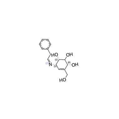 OCC1=C[C@H](/N=C\Cc2ccccc2)[C@H](O)C(O)[C@@H]1O